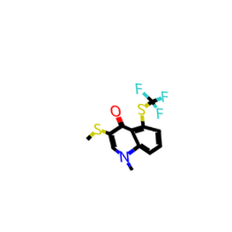 CSc1cn(C)c2cccc(SC(F)(F)F)c2c1=O